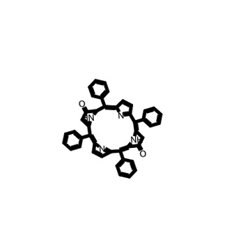 O=C1CC2=C(c3ccccc3)C3=NC(=C(c4ccccc4)C4NC(=CC4=O)C(c4ccccc4)=C4C=CC(=N4)C(c4ccccc4)=C1N2)C=C3